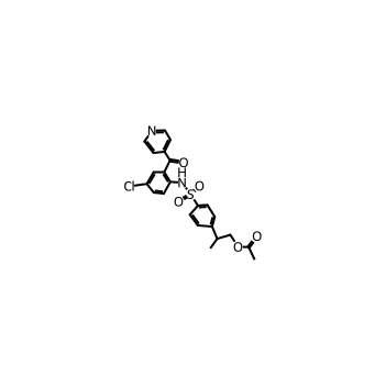 CC(=O)OCC(C)c1ccc(S(=O)(=O)Nc2ccc(Cl)cc2C(=O)c2ccncc2)cc1